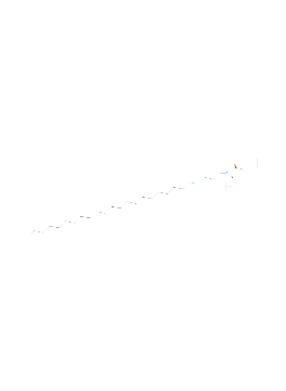 CCCCCCCCCCCCCCCCCCCCCCOCCCNC(=O)CCl